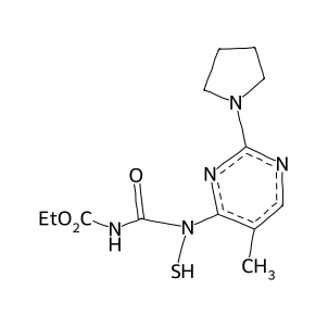 CCOC(=O)NC(=O)N(S)c1nc(N2CCCC2)ncc1C